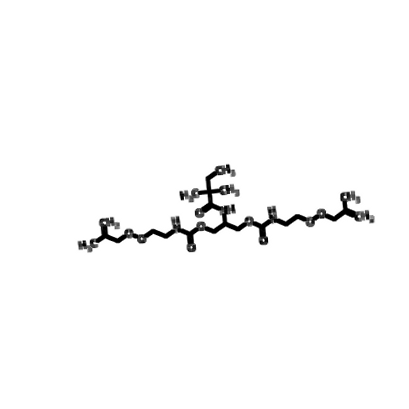 C=C(C)COOCCNC(=O)OCC(COC(=O)NCCOOCC(=C)C)NC(=O)C(C)(C)CC